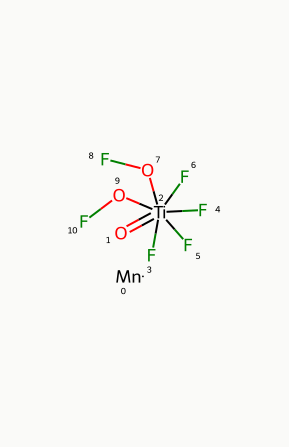 [Mn].[O]=[Ti]([F])([F])([F])([F])([O]F)[O]F